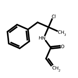 C=CC(=O)NC(C)(Cl)Cc1ccccc1